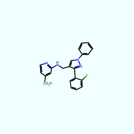 O=C(O)c1ccnc(NCc2cn(-c3ccccc3)nc2-c2ccccc2F)c1